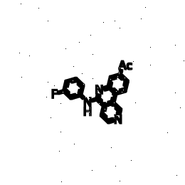 CC(=O)c1ccc2c(c1)nc(Nc1cccc(F)c1)c1ccncc12